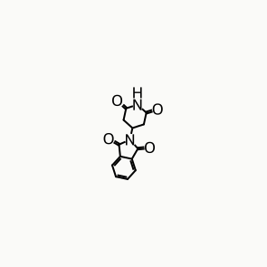 O=C1CC(N2C(=O)c3ccccc3C2=O)CC(=O)N1